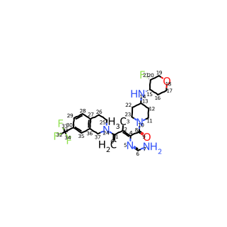 C=C(/C(C)=C(\N=C/N)C(=O)N1CCC(N[C@H]2CCOC[C@H]2F)CC1)N1CCc2ccc(C(F)(F)F)cc2C1